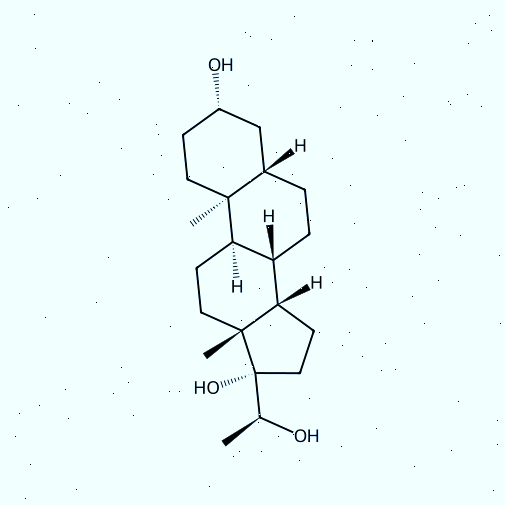 C[C@H](O)[C@]1(O)CC[C@H]2[C@H]3CC[C@H]4C[C@@H](O)CC[C@]4(C)[C@@H]3CC[C@]21C